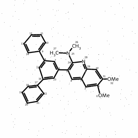 COc1cc2cc(-c3cc(-c4ccccc4)cc(-c4ccccc4)c3)c(N(C)C)nc2cc1OC